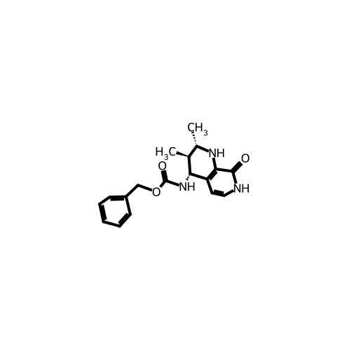 C[C@H]1[C@H](C)Nc2c(cc[nH]c2=O)[C@@H]1NC(=O)OCc1ccccc1